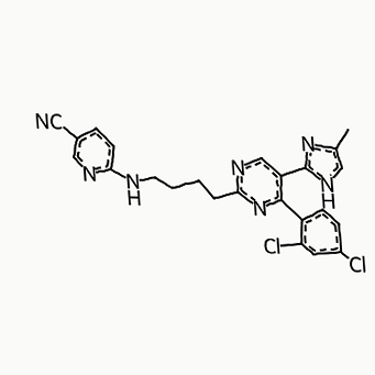 Cc1c[nH]c(-c2cnc(CCCCNc3ccc(C#N)cn3)nc2-c2ccc(Cl)cc2Cl)n1